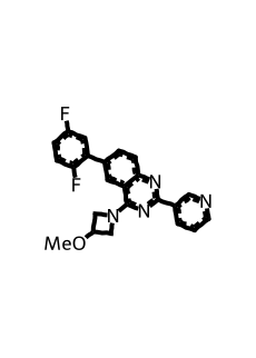 COC1CN(c2nc(-c3cccnc3)nc3ccc(-c4cc(F)ccc4F)cc23)C1